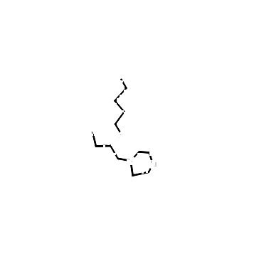 CCCCCC[C@@H](CC)CN1CCNCC1